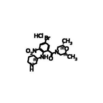 C[C@@H]1CN(C(=O)c2cc(Br)cc([N+](=O)[O-])c2N[C@@H]2CCCNC2)C[C@H](C)O1.Cl